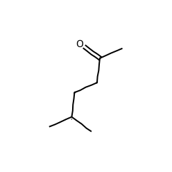 C[C](C)CCC(C)=O